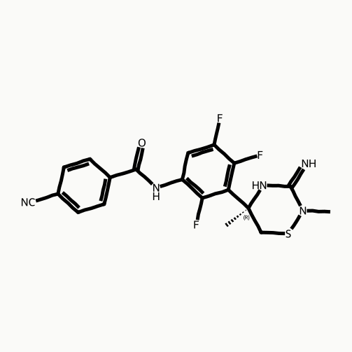 CN1SC[C@@](C)(c2c(F)c(F)cc(NC(=O)c3ccc(C#N)cc3)c2F)NC1=N